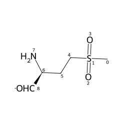 CS(=O)(=O)CC[C@H](N)[C]=O